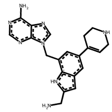 NCc1cc2cc(C3=CCNCC3)cc(Cn3cnc4c(N)ncnc43)c2[nH]1